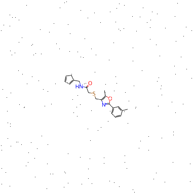 Cc1cccc(-c2nc(CSCC(=O)NCC3=CC=CC3)c(C)o2)c1